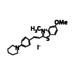 COc1ccc2sc(C=Cc3ccc(N4CCCCC4)cc3)[n+](C)c2c1.[I-]